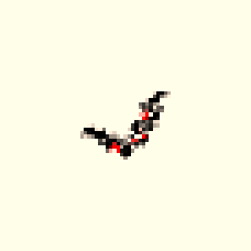 C=C[Si](C)(O[C@@](C)(CC)[Si](C)(C)OC(C)(C)[Si](C)(C)CCCC)C(CC)O[Si](C)(C)C(CC)O[Si](C)(C)CCCC